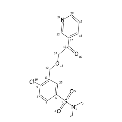 CN(C)S(=O)(=O)c1ccc(Cl)c(COCC(=O)c2cccnc2)c1